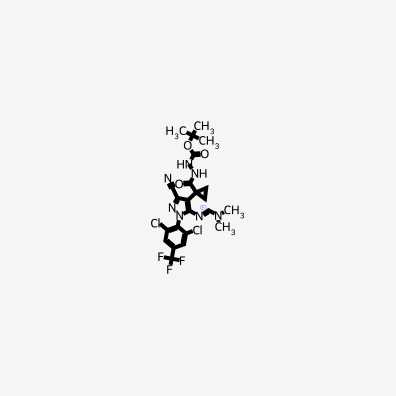 CN(C)/C=N/c1c(C2(C(=O)NNC(=O)OC(C)(C)C)CC2)c(C#N)nn1-c1c(Cl)cc(C(F)(F)F)cc1Cl